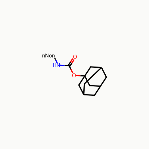 CCCCCCCCCNC(=O)OC12CC3CC(CC(C3)C1)C2